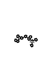 c1ccc(-c2cc(-c3ccc(-c4cccc(-c5ccc6c(c5)c5ccccc5n6-c5cccc6ccccc56)c4)c4ccccc34)nc(-c3ccccc3)n2)cc1